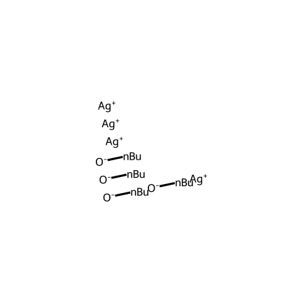 CCCC[O-].CCCC[O-].CCCC[O-].CCCC[O-].[Ag+].[Ag+].[Ag+].[Ag+]